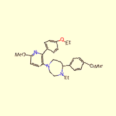 CCOc1ccc(-c2nc(OC)ccc2N2CCC(c3ccc(OC)cc3)N(CC)CC2)cc1